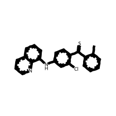 Cc1ccccc1C(=S)c1ccc(Nc2cccc3cccnc23)cc1Cl